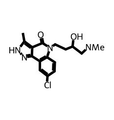 CNCC(O)CCn1c(=O)c2c(C)[nH]nc2c2cc(Cl)ccc21